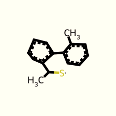 Cc1ccccc1-c1ccccc1C(C)[S]